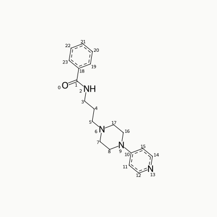 O=C(NCCCN1CCN(c2ccncc2)CC1)c1ccccc1